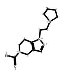 CCC(=O)N1CCc2c(cnn2CCN2CCCC2)C1